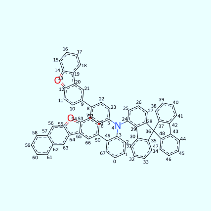 c1ccc(N(c2ccc(-c3ccc4oc5ccccc5c4c3)cc2)c2cccc3c2-c2ccccc2C32c3ccccc3-c3ccccc32)c(-c2ccc3oc4cc5ccccc5cc4c3c2)c1